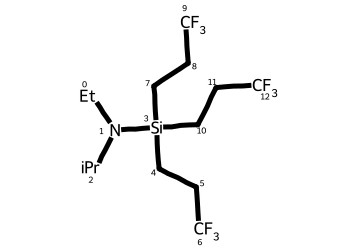 CCN(C(C)C)[Si](CCC(F)(F)F)(CCC(F)(F)F)CCC(F)(F)F